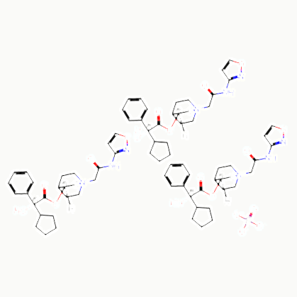 O=C(C[N+]12CCC(CC1)[C@@H](OC(=O)[C@](O)(c1ccccc1)C1CCCC1)C2)Nc1ccon1.O=C(C[N+]12CCC(CC1)[C@@H](OC(=O)[C@](O)(c1ccccc1)C1CCCC1)C2)Nc1ccon1.O=C(C[N+]12CCC(CC1)[C@@H](OC(=O)[C@](O)(c1ccccc1)C1CCCC1)C2)Nc1ccon1.O=P([O-])([O-])[O-]